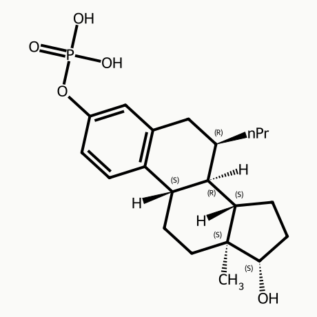 CCC[C@@H]1Cc2cc(OP(=O)(O)O)ccc2[C@H]2CC[C@]3(C)[C@@H](O)CC[C@H]3[C@H]12